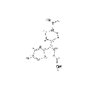 CB(O)N1CCC(C(OCCO)c2ccc(Cl)cc2)CC1